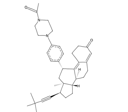 CC(=O)N1CCN(c2ccc([C@H]3C[C@]4(C)[C@H](C#CC(C)(C)C)CC[C@H]4[C@@H]4CCC5=CC(=O)CCC5=C43)cc2)CC1